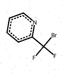 FC(F)(Br)c1ccccn1